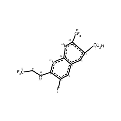 O=C(O)c1cc2cc(F)c(NCC(F)(F)F)nc2nc1C(F)(F)F